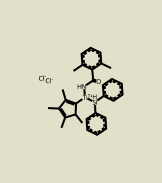 CC1=C(C)C(C)[C]([Ti+2]([NH]C(=O)c2c(C)cccc2C)[SiH](c2ccccc2)c2ccccc2)=C1C.[Cl-].[Cl-]